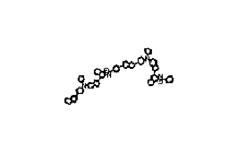 c1ccc(-c2nc3c(-c4ccc5ccc(N(c6ccccc6)c6ccc(-c7ccc8cc(-c9ccc(-c%10nc%11cc(-c%12ccc%13ccc(N(c%14ccccc%14)c%14ccc(-c%15ccc%16ccccc%16c%15)cc%14)cc%13c%12)c%12ccccc%12c%11o%10)cc9)ccc8c7)cc6)cc5c4)cc4ccccc4c3o2)cc1